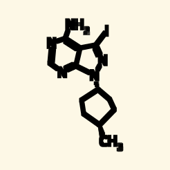 C[C@H]1CC[C@H](n2nc(I)c3c(N)ncnc32)CC1